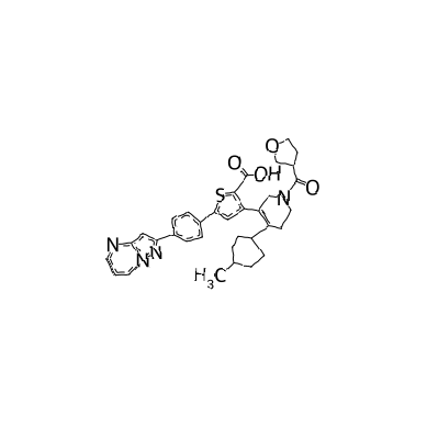 CC1CCC(C2=C(c3cc(-c4ccc(-c5cc6ncccn6n5)cc4)sc3C(=O)O)CN(C(=O)C3CCOC3)CC2)CC1